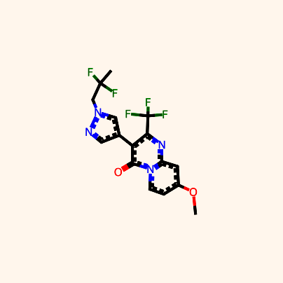 COc1ccn2c(=O)c(-c3cnn(CC(C)(F)F)c3)c(C(F)(F)F)nc2c1